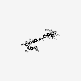 Cc1ncsc1-c1ccc([C@H](C)NC(=O)[C@@H]2C[C@@H](O)CN2C(=O)[C@@H](NC(=O)c2cc3cc(OCCNC(=O)[C@H]4CCN(c5ccc(C6=N[C@@H](CC(=O)O)c7nnc(C)n7-c7sc(C)c(C)c76)cc5)C4)ccc3o2)C(C)(C)C)cc1